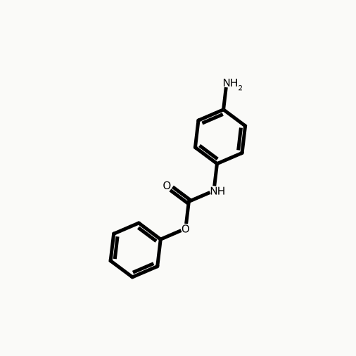 Nc1ccc(NC(=O)Oc2ccccc2)cc1